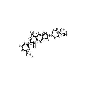 COc1cc2nn(C3CCC(C)(O)CC3)cc2cc1NC(=O)c1cccc(C)n1